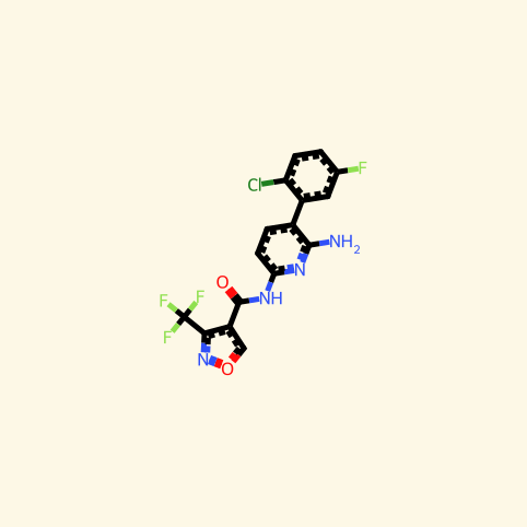 Nc1nc(NC(=O)c2conc2C(F)(F)F)ccc1-c1cc(F)ccc1Cl